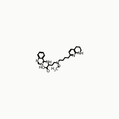 CON(CCCCc1ccc2c(n1)NCCC2)CCC(Nc1ncnc2ccccc12)C(=O)O